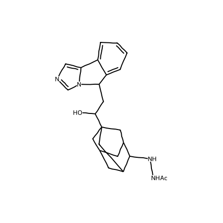 CC(=O)NNC1C2CC3CC1CC(C(O)CC1c4ccccc4-c4cncn41)(C3)C2